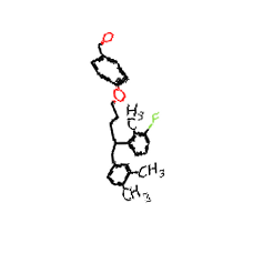 Cc1ccc(CC(CCCOc2ccc(C=O)cc2)c2cccc(F)c2C)cc1C